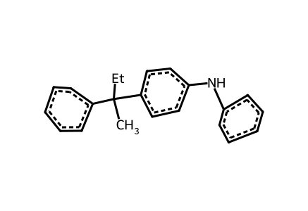 CCC(C)(c1ccccc1)c1ccc(Nc2ccccc2)cc1